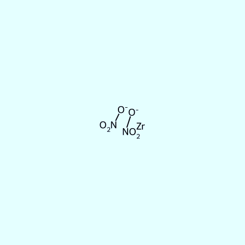 O=[N+]([O-])[O-].O=[N+]([O-])[O-].[Zr]